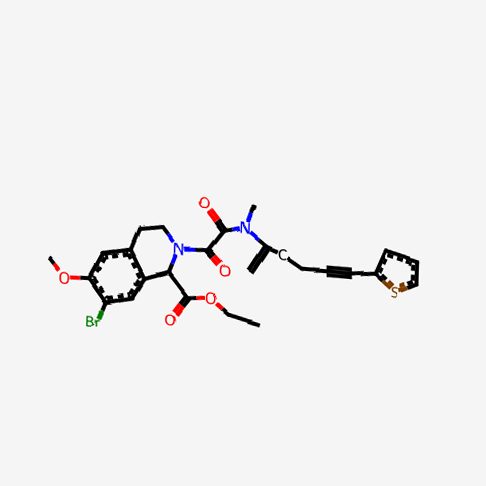 C=C(CCC#Cc1cccs1)N(C)C(=O)C(=O)N1CCc2cc(OC)c(Br)cc2C1C(=O)OCC